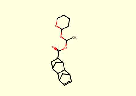 CC(OC(=O)C1CC2CC1C1C3C=CC(C3)C21)OC1CCCCO1